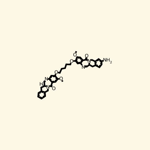 COc1cc2c(cc1OCCCCCOc1cc3c(cc1OC)C(=O)N1Cc4ccccc4C[C@H]1C=N3)N=CC1Cc3ccc(N)cc3CN1C2=O